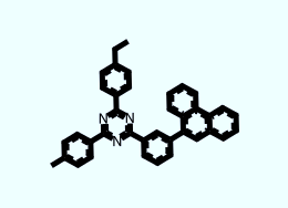 CCc1ccc(-c2nc(-c3ccc(C)cc3)nc(-c3cccc(-c4cc5ccccc5c5ccccc45)c3)n2)cc1